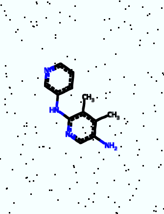 Cc1c(N)cnc(Nc2cccnc2)c1C